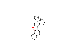 Cc1cc2oc3c4ccccc4ccc3c2c2ccccc12